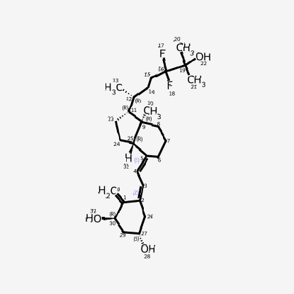 C=C1/C(=C\C=C2/CCC[C@]3(C)[C@@H]([C@H](C)CCC(F)(F)C(C)(C)O)CC[C@@H]23)C[C@H](O)C[C@H]1O